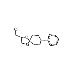 ClCC1COC2(CCC(c3ccccc3)CC2)O1